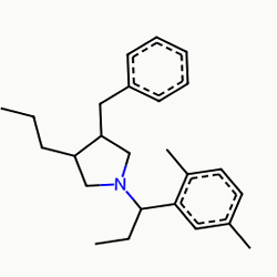 CCCC1CN(C(CC)c2cc(C)ccc2C)CC1Cc1ccccc1